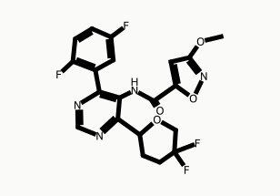 COc1cc(C(=O)Nc2c(-c3cc(F)ccc3F)ncnc2C2CCC(F)(F)CO2)on1